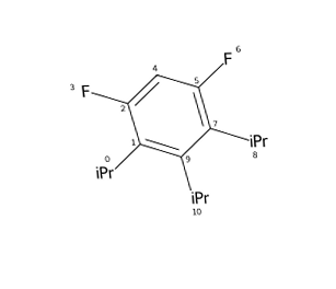 CC(C)c1c(F)cc(F)c(C(C)C)c1C(C)C